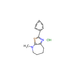 CN1CCCCc2nc(-c3ccccc3)sc21.Cl